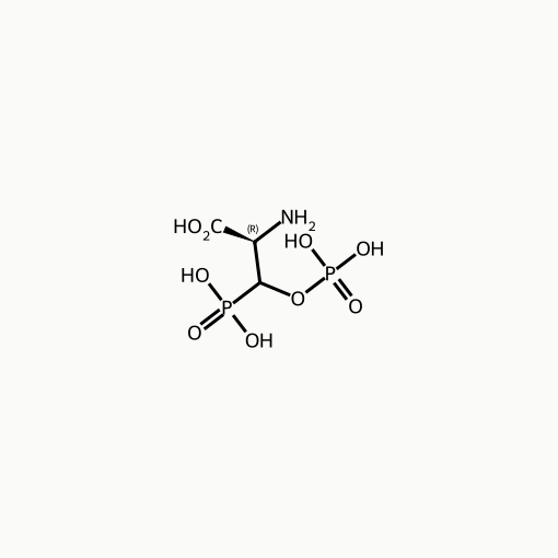 N[C@H](C(=O)O)C(OP(=O)(O)O)P(=O)(O)O